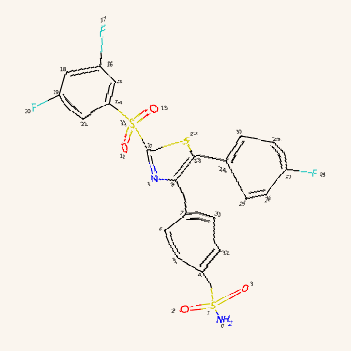 NS(=O)(=O)c1ccc(-c2nc(S(=O)(=O)c3cc(F)cc(F)c3)sc2-c2ccc(F)cc2)cc1